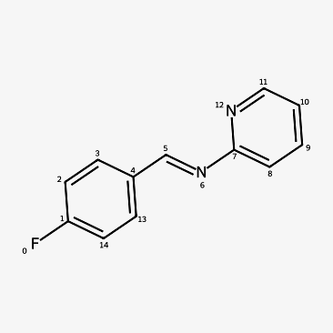 Fc1ccc(C=Nc2ccccn2)cc1